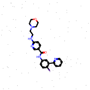 O=C(Nc1ccc(I)c(-c2ccccn2)c1)c1ccc(NCCN2CCOCC2)nc1